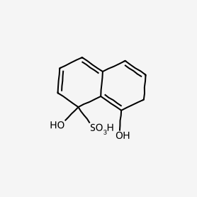 O=S(=O)(O)C1(O)C=CC=C2C=CCC(O)=C21